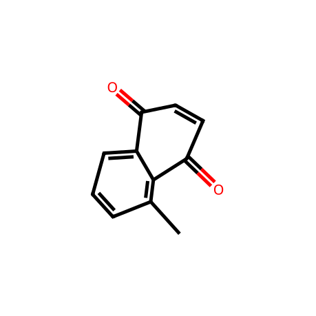 Cc1cccc2c1C(=O)C=CC2=O